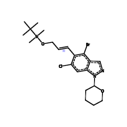 CC(C)(C)[Si](C)(C)OC/C=C/c1c(Cl)cc2c(cnn2C2CCCCO2)c1Br